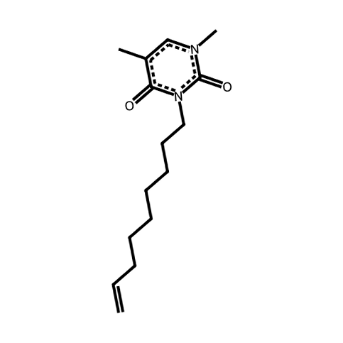 C=CCCCCCCCn1c(=O)c(C)cn(C)c1=O